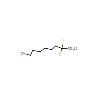 CCOC(=O)C(F)(F)CCCCCCCl